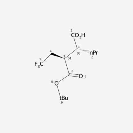 CCC[C@@H](C(=O)O)[C@H](CC(F)(F)F)C(=O)OC(C)(C)C